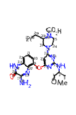 COC[C@H](C)Nc1nc(Oc2cccc3[nH]c(=O)c(N)nc23)cc(N2CCN(C(=O)O)C(CC(C)C)C2)n1